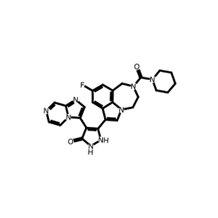 O=C(N1CCCCC1)N1CCn2cc(-c3[nH][nH]c(=O)c3-c3cnc4cnccn34)c3cc(F)cc(c32)C1